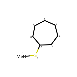 CNSC1CCCCCC1